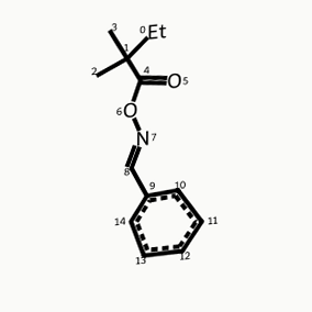 CCC(C)(C)C(=O)O/N=C/c1ccccc1